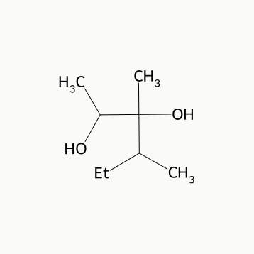 CCC(C)C(C)(O)C(C)O